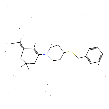 CC1(C)CC(=C(C#N)C#N)C(C#N)=C(N2CCC(SCc3ccccc3)CC2)C1